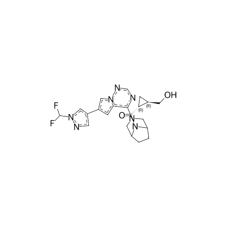 O=C([C@@H]1C[C@H]1CO)N1C2CCC1CN(c1ncnn3cc(-c4cnn(C(F)F)c4)cc13)C2